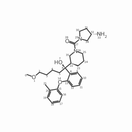 COCCCC[C@@](O)(c1ccccc1Oc1ccccc1C)[C@@H]1CCCN(C(=O)N2CC[C@H](N)C2)C1